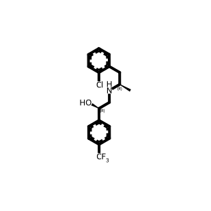 C[C@H](Cc1ccccc1Cl)NC[C@H](O)c1ccc(C(F)(F)F)cc1